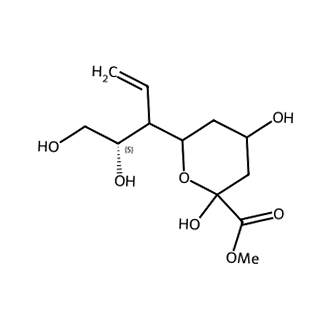 C=CC(C1CC(O)CC(O)(C(=O)OC)O1)[C@H](O)CO